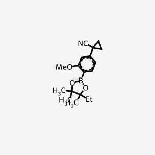 CCC1(C)OB(c2ccc(C3(C#N)CC3)cc2OC)OC1(C)C